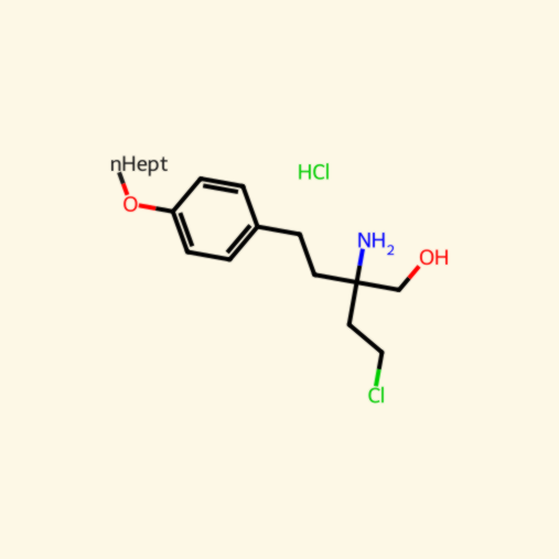 CCCCCCCOc1ccc(CCC(N)(CO)CCCl)cc1.Cl